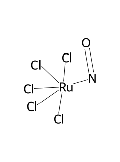 O=[N][Ru]([Cl])([Cl])([Cl])([Cl])[Cl]